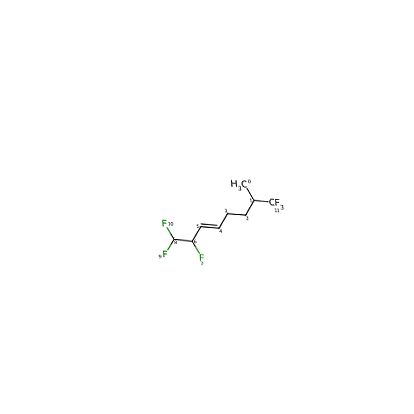 CC(CC/C=C/C(F)[C](F)F)C(F)(F)F